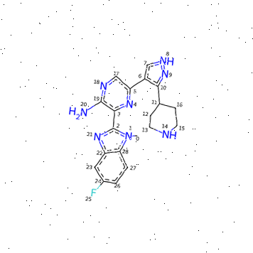 Cn1c(-c2nc(-c3c[nH]nc3C3CCNCC3)cnc2N)nc2cc(F)ccc21